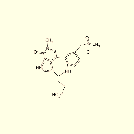 Cn1cc2c3c(c[nH]c3c1=O)C(CCC(=O)O)Nc1ccc(CS(C)(=O)=O)cc1-2